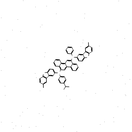 Cc1ccc2oc3ccc(N(c4ccccc4)c4cc5c6ccccc6c(N(c6ccc(C(C)C)cc6)c6ccc7oc8ccc(C)cc8c7c6)cc5c5ccccc45)cc3c2c1